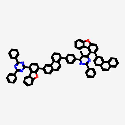 CC1=C(c2c(-c3ccc4ccc5ccccc5c4c3)ccc3oc4ccccc4c23)N=C(c2ccccc2)NC1c1ccc(-c2cccc3c2ccc2ccc(-c4ccc(-c5nc(-c6ccccc6)nc(-c6ccccc6)n5)c5c4oc4ccccc45)cc23)cc1